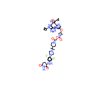 CC(C)(C1CCN(C(=O)COC(=O)N2CC(Oc3cnc(-c4c(-c5nn(C67CC(C6)C7)c6ncnc(N)c56)noc4C4CC4)nc3)C2)CC1)N1CCN(c2c(F)cc(NC3CCC(=O)NC3=O)cc2F)CC1